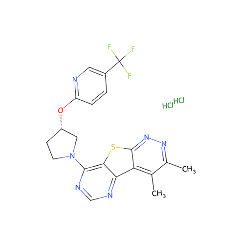 Cc1nnc2sc3c(N4CC[C@H](Oc5ccc(C(F)(F)F)cn5)C4)ncnc3c2c1C.Cl.Cl